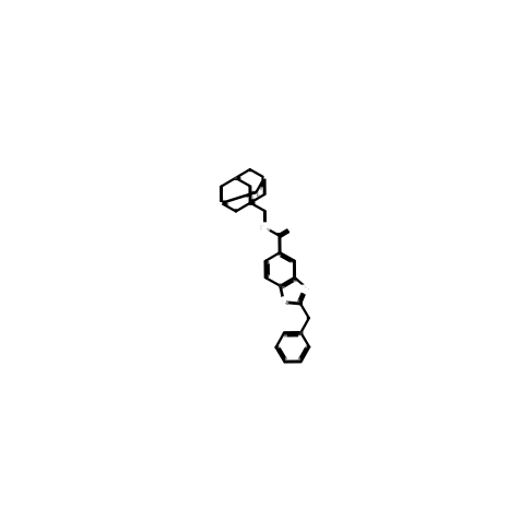 O=C(NCC12CC3CC(CC(C3)C1)C2)c1ccc2[nH]c(Cc3ccccc3)nc2c1